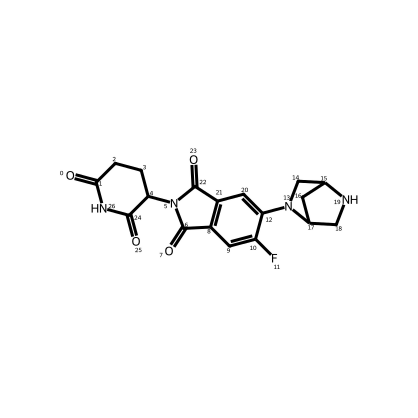 O=C1CCC(N2C(=O)c3cc(F)c(N4CC5CC4CN5)cc3C2=O)C(=O)N1